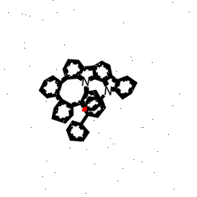 c1ccc(-c2ccc(-n3c4ccccc4c4ccc5c6cccc7c8ccccc8c8ccccc8c8ccccc8n(c76)c5c43)cc2)cc1